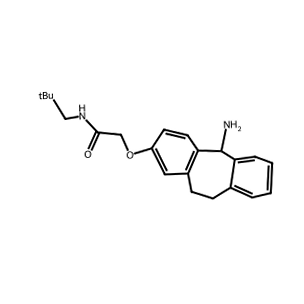 CC(C)(C)CNC(=O)COc1ccc2c(c1)CCc1ccccc1C2N